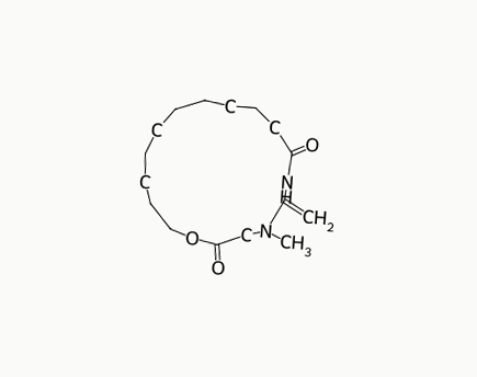 C=C1NC(=O)CCCCCCCCCCOC(=O)CN1C